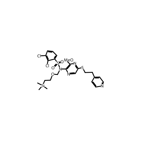 COc1nc(SCCc2ccncc2)cnc1N(COCC[Si](C)(C)C)S(=O)(=O)c1cccc(Cl)c1Cl